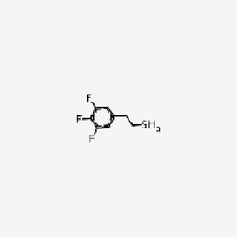 Fc1cc(CC[SiH3])cc(F)c1F